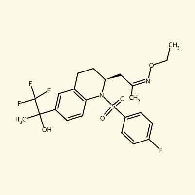 CCO/N=C(/C)C[C@@H]1CCc2cc(C(C)(O)C(F)(F)F)ccc2N1S(=O)(=O)c1ccc(F)cc1